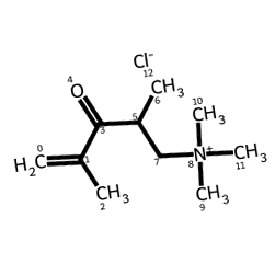 C=C(C)C(=O)C(C)C[N+](C)(C)C.[Cl-]